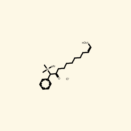 CCCCCCCC/C=C\CCCCCCCC(=O)C(c1ccccc1)[N+](C)(C)CCC.[Cl-]